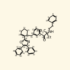 CCC(NCCc1ccccc1)(C(=O)O)C(=O)c1cccc(CC2CCCC=C2c2nc(-c3ccccc3)c(-c3ccccc3)o2)c1